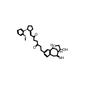 CSc1ccccc1[C@H]1CCC/C1=C\C(=O)CCC(=O)CCc1ccc2c(c1)[C@@H]1C[C@H](C(=N)C2)[C@H](O)CO1